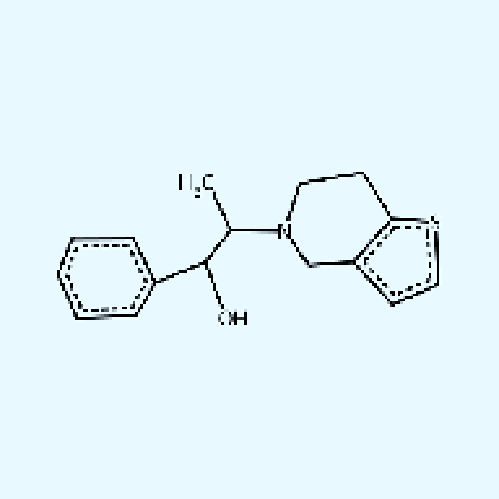 CC(C(O)c1ccccc1)N1CCc2sccc2C1